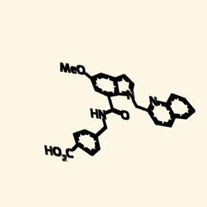 COc1cc(C(=O)NCc2ccc(C(=O)O)cc2)c2c(ccn2Cc2ccc3ccccc3n2)c1